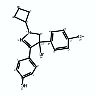 Oc1ccc(C2=NN(C3CCC3)CC2(Br)c2ccc(O)cc2)cc1